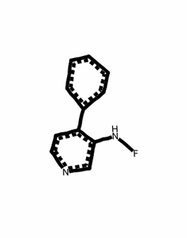 FNc1cnccc1-c1ccccc1